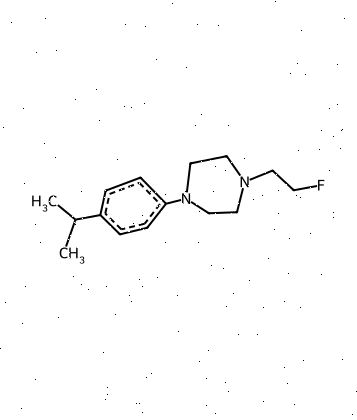 CC(C)c1ccc(N2CCN(CCF)CC2)cc1